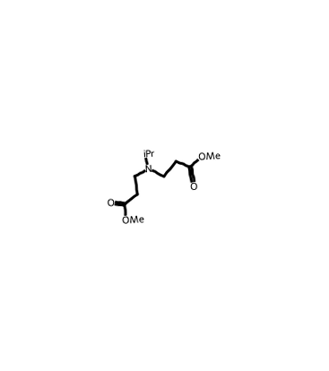 COC(=O)CCN(CCC(=O)OC)C(C)C